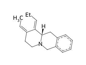 C/C=C1/CCN2Cc3ccccc3C[C@H]2/C1=C/CC